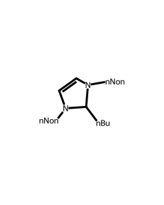 CCCCCCCCCN1C=CN(CCCCCCCCC)C1CCCC